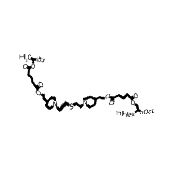 CCCCCCCCC(CCCCCC)COC(=O)CCCC(=O)OCCC1CCN(CCSCCN2CCC(CCOC(=O)CCCC(=O)OC(C)CCCC)CC2)CC1